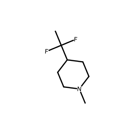 CN1CCC(C(C)(F)F)CC1